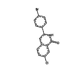 O=c1[nH]c(-c2ccc(Br)cc2)cc2ccc(Cl)cc12